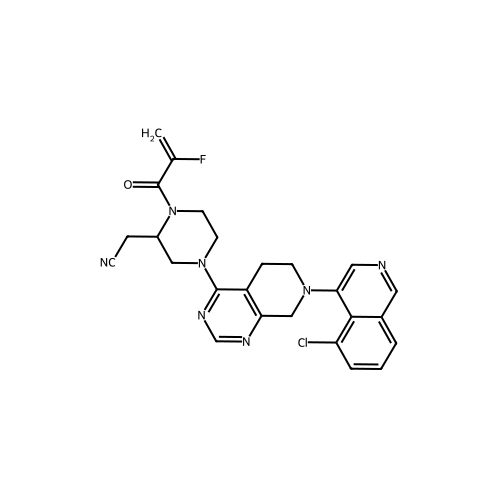 C=C(F)C(=O)N1CCN(c2ncnc3c2CCN(c2cncc4cccc(Cl)c24)C3)CC1CC#N